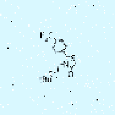 CC(C)(C)SCCN1C(=O)CSC1c1ccc(C(F)(F)F)cc1